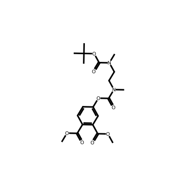 COC(=O)c1ccc(OC(=O)N(C)CCN(C)C(=O)OC(C)(C)C)cc1C(=O)OC